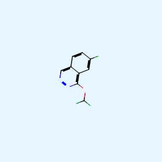 FC(F)Oc1nncc2ccc(Br)cc12